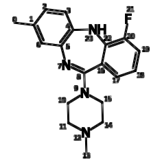 Cc1ccc2c(c1)N=C(N1CCN(C)CC1)c1cccc(F)c1N2